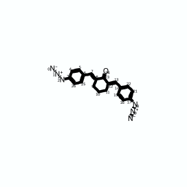 [N-]=[N+]=Nc1ccc(C=C2CCCC(=Cc3ccc(N=[N+]=[N-])cc3)C2=O)cc1